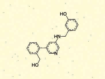 OCc1ccccc1-c1cncc(NCc2cccc(O)c2)c1